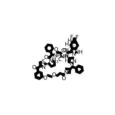 CNC(C)C(=O)NC(C(=O)N1CCC[C@H]1c1nc(C(=O)c2cccc(OCCOCCC(=O)N3CC(C(c4ccccc4)n4cc(NC(=O)c5n[nH]c6c5C[C@@H]5C(F)(F)[C@]5(C)C6)cn4)C3)c2)cs1)C1CCCCC1